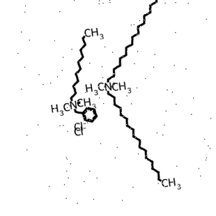 CCCCCCCCCCCCCCCCCC[N+](C)(C)CCCCCCCCCCCCCCCCCC.CCCCCCCCCCCC[N+](C)(C)Cc1ccccc1.[Cl-].[Cl-]